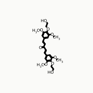 COc1cc(C=CC(=O)C=Cc2cc(OC)c(OCCO)c(OC)c2)cc(OC)c1OCCO